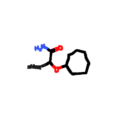 CCCCCCC(OC1CCCCCC1)C(N)=O